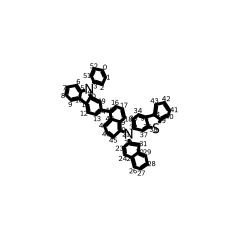 c1ccc(-n2c3ccccc3c3ccc(-c4cccc5c(N(c6ccc7ccccc7c6)c6ccc7c(c6)sc6ccccc67)cccc45)cc32)cc1